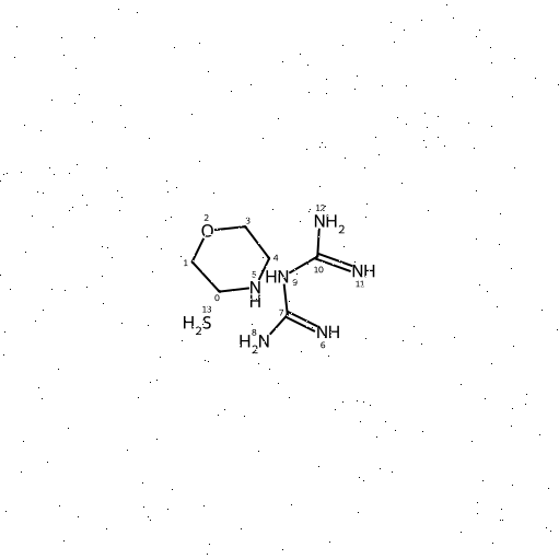 C1COCCN1.N=C(N)NC(=N)N.S